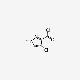 Cn1cc(Cl)c(C(=O)Cl)n1